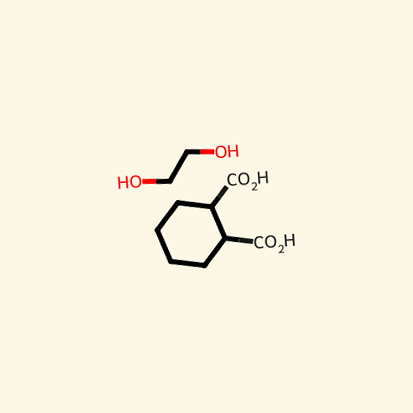 O=C(O)C1CCCCC1C(=O)O.OCCO